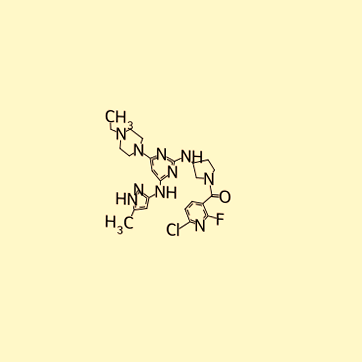 CCN1CCN(c2cc(Nc3cc(C)[nH]n3)nc(N[C@H]3CCN(C(=O)c4ccc(Cl)nc4F)C3)n2)CC1